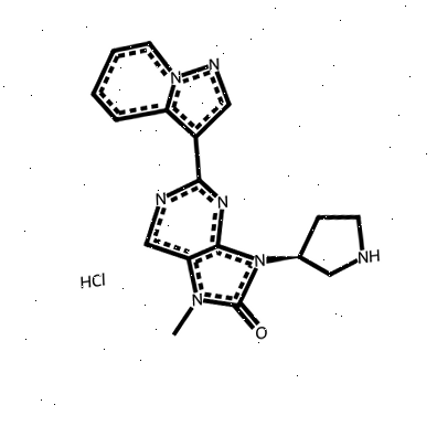 Cl.Cn1c(=O)n([C@H]2CCNC2)c2nc(-c3cnn4ccccc34)ncc21